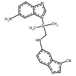 C[Si](C)(CNc1ccc2ncn(C#N)c2c1)n1cnc2ccc(N)cc21